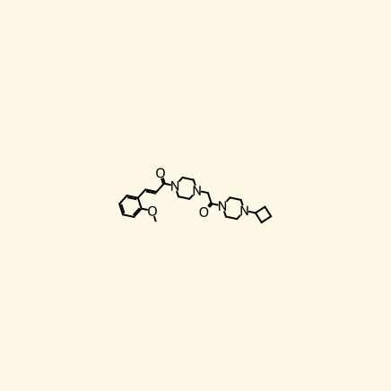 COc1ccccc1/C=C/C(=O)N1CCN(CC(=O)N2CCN(C3CCC3)CC2)CC1